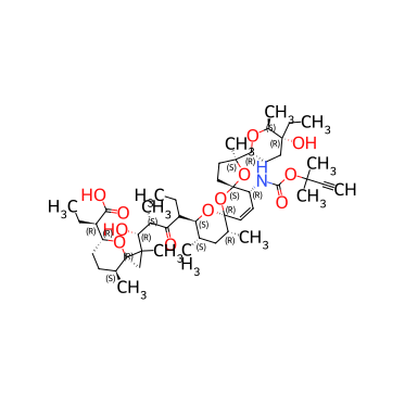 C#CC(C)(C)OC(=O)N[C@@H]1C=C[C@]2(O[C@H](C(CC)C(=O)[C@@H](C)[C@@H](O)C3(C)C[C@]34O[C@@H]([C@@H](CC)C(=O)O)CC[C@@H]4C)[C@@H](C)C[C@H]2C)O[C@@]12CC[C@@](C)([C@H]1CC[C@](O)(CC)[C@H](C)O1)O2